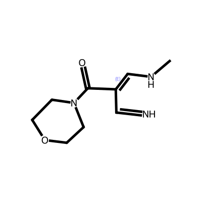 CN/C=C(\C=N)C(=O)N1CCOCC1